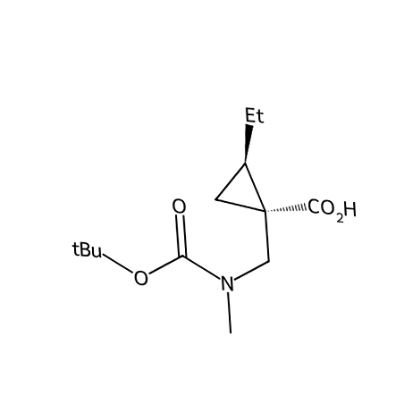 CC[C@@H]1C[C@@]1(CN(C)C(=O)OC(C)(C)C)C(=O)O